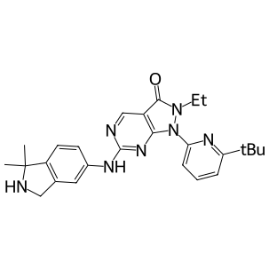 CCn1c(=O)c2cnc(Nc3ccc4c(c3)CNC4(C)C)nc2n1-c1cccc(C(C)(C)C)n1